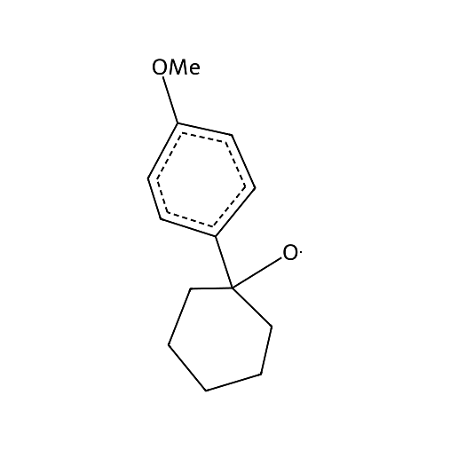 COc1ccc(C2([O])CCCCC2)cc1